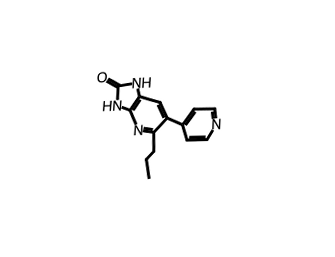 CCCc1nc2[nH]c(=O)[nH]c2cc1-c1ccncc1